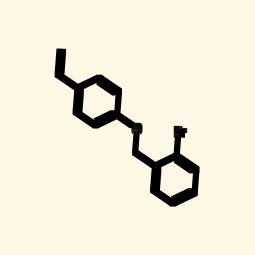 C=Cc1ccc(OCc2ccccc2Br)cc1